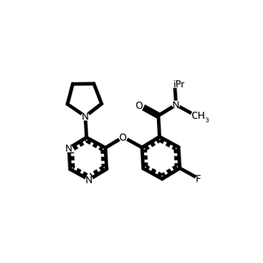 CC(C)N(C)C(=O)c1cc(F)ccc1Oc1cncnc1N1CCCC1